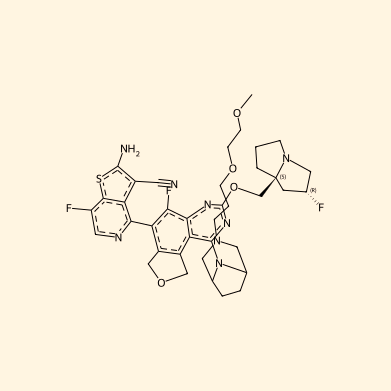 COCCOCCCN1CC2CCC(C1)N2c1nc(OC[C@@]23CCCN2C[C@H](F)C3)nc2c(F)c(-c3ncc(F)c4sc(N)c(C#N)c34)c3c(c12)COC3